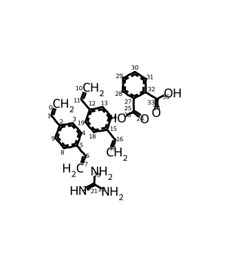 C=Cc1ccc(C=C)cc1.C=Cc1ccc(C=C)cc1.N=C(N)N.O=C(O)c1ccccc1C(=O)O